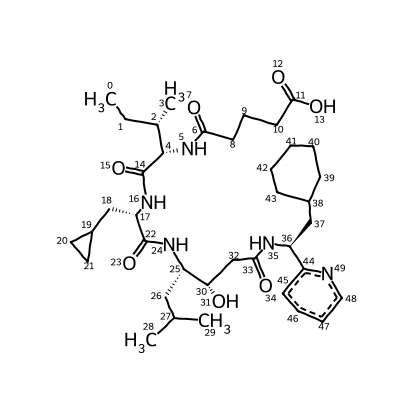 CC[C@H](C)[C@H](NC(=O)CCCC(=O)O)C(=O)N[C@@H](CC1CC1)C(=O)N[C@@H](CC(C)C)[C@@H](O)CC(=O)N[C@@H](CC1CCCCC1)c1ccccn1